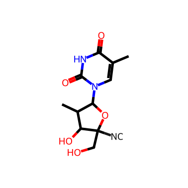 [C-]#[N+]C1(CO)OC(n2cc(C)c(=O)[nH]c2=O)C(C)C1O